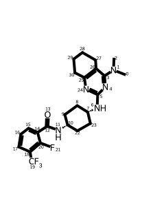 CN(C)c1nc(N[C@H]2CC[C@@H](NC(=O)c3cccc(C(F)(F)F)c3F)CC2)nc2c1CCCC2